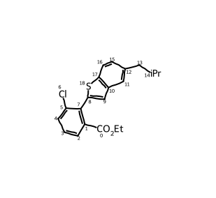 CCOC(=O)c1cccc(Cl)c1-c1cc2cc(CC(C)C)ccc2s1